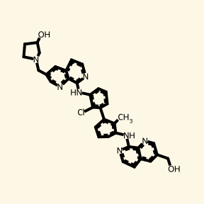 Cc1c(Nc2nccc3cc(CO)cnc23)cccc1-c1cccc(Nc2nccc3cc(CN4CCC(O)C4)cnc23)c1Cl